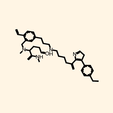 C=Cc1ccc(CCCNCCCCC(=C)C2=C(c3ccc(CC)cc3)CC=N2)cc1CN(C)C(CCC=O)C(=C)NC